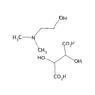 CN(C)CCO.O=C(O)C(O)C(O)C(=O)O